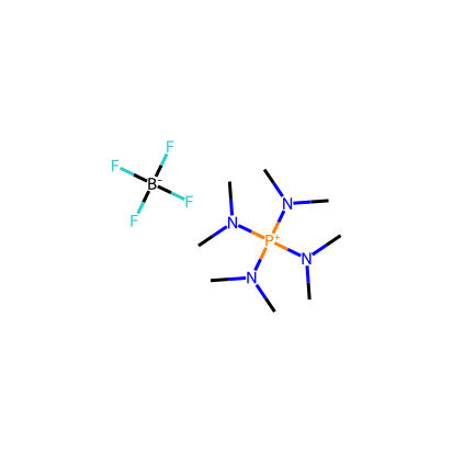 CN(C)[P+](N(C)C)(N(C)C)N(C)C.F[B-](F)(F)F